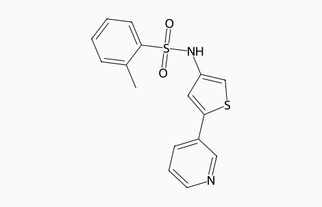 Cc1ccccc1S(=O)(=O)Nc1csc(-c2cccnc2)c1